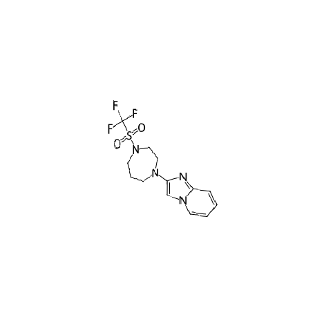 O=S(=O)(N1CCCN(c2cn3ccccc3n2)CC1)C(F)(F)F